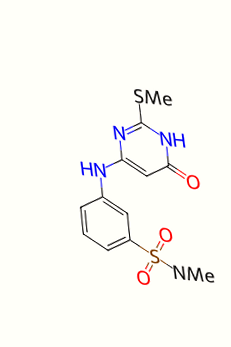 CNS(=O)(=O)c1cccc(Nc2cc(=O)[nH]c(SC)n2)c1